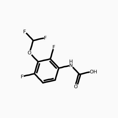 O=C(O)Nc1ccc(F)c(OC(F)F)c1F